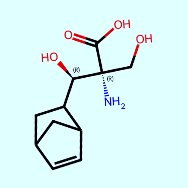 N[C@@](CO)(C(=O)O)[C@H](O)C1CC2C=CC1C2